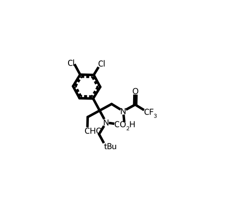 CN(CC(CC=O)(c1ccc(Cl)c(Cl)c1)N(CC(C)(C)C)C(=O)O)C(=O)C(F)(F)F